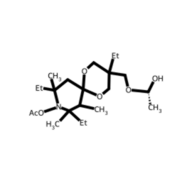 CCC1(CO[C@@H](C)O)COC2(CC(C)(CC)N(OC(C)=O)C(C)(CC)C2C)OC1